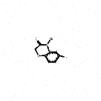 O=C1COc2ccc(F)cc2N1O